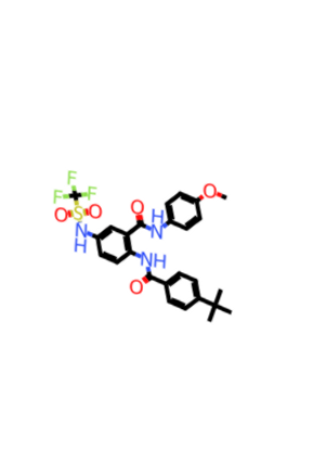 COc1ccc(NC(=O)c2cc(NS(=O)(=O)C(F)(F)F)ccc2NC(=O)c2ccc(C(C)(C)C)cc2)cc1